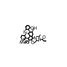 C=CC(=O)N1CC2COc3c(OC)c(-c4c(C)ccnc4C(C)C)c4c(F)c(-c5c(O)cccc5F)c(F)cc4c3N2CC1C